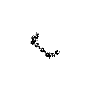 O=C1CCC(N2C(=O)c3cccc(N4CCN(CCN5CCC(COc6cc(F)c7c(=O)[nH]c(CSC8CCOCC8)nc7c6)CC5)CC4)c3C2=O)C(=O)N1